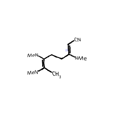 CNC(C)=C(CC/C(=C/C#N)NC)NC